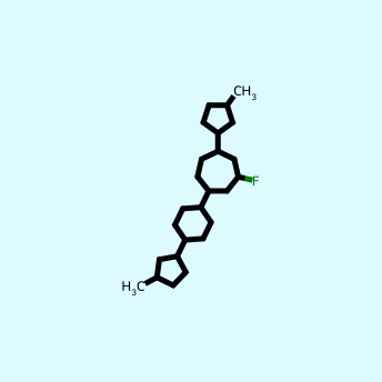 CC1CCC(C2CCC(C3CCC(C4CCC(C)C4)CC(F)C3)CC2)C1